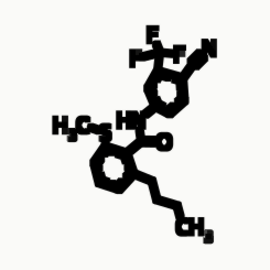 CCCCc1cccc(SC)c1C(=O)Nc1ccc(C#N)c(C(F)(F)F)c1